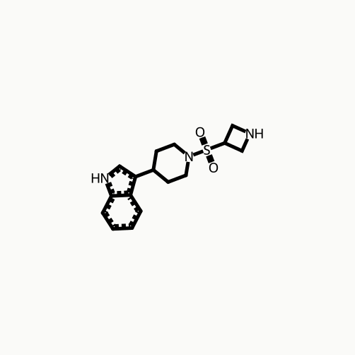 O=S(=O)(C1CNC1)N1CCC(c2c[nH]c3ccccc23)CC1